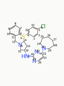 Clc1ccc(Sc2ccccc2CN2CCC(Nc3nccc(N4CCCCCC4)n3)C2)cc1